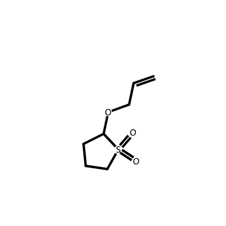 C=CCOC1CCCS1(=O)=O